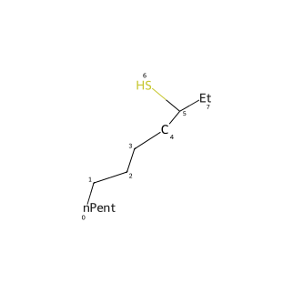 CCCCCCCCCC(S)CC